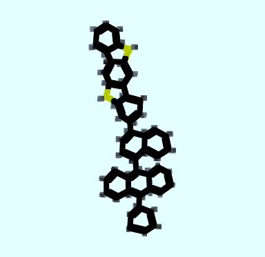 c1ccc(-c2c3ccccc3c(-c3ccc(-c4ccc5c(c4)sc4cc6c(cc45)sc4ccccc46)c4ccccc34)c3ccccc23)cc1